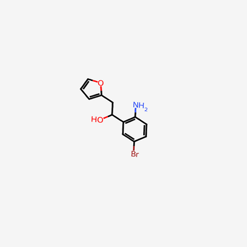 Nc1ccc(Br)cc1C(O)Cc1ccco1